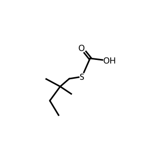 CCC(C)(C)CSC(=O)O